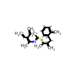 C=CC(C=C)=C(C)/N=C(\C)SC(C)C(=C)Cc1ccccc1C